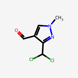 Cn1cc([C]=O)c(C(Cl)Cl)n1